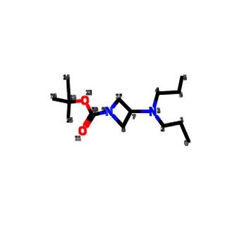 CCCN(CCC)C1CN(C(=O)OC(C)(C)C)C1